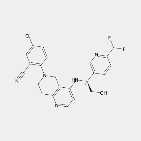 N#Cc1cc(Cl)ccc1N1CCc2ncnc(N[C@H](CO)c3ccc(C(F)F)nc3)c2C1